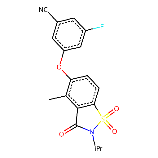 Cc1c(Oc2cc(F)cc(C#N)c2)ccc2c1C(=O)N(C(C)C)S2(=O)=O